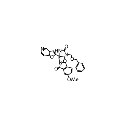 COc1ccc2c(c1)C(=O)N(C[C@@]1(c3cc4cnccc4o3)NC(=O)N(COCc3ccccc3)C1=O)C2